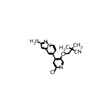 CC(C)(C#N)COc1cnc(Cl)cc1-c1ccn2nc(N)cc2c1